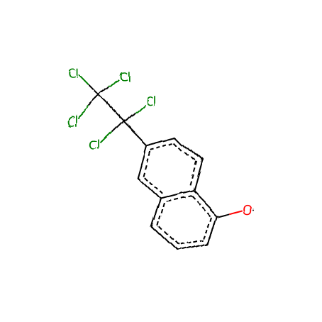 [O]c1cccc2cc(C(Cl)(Cl)C(Cl)(Cl)Cl)ccc12